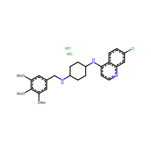 COc1cc(CNC2CCC(Nc3ccnc4cc(Cl)ccc34)CC2)cc(OC)c1OC.Cl.Cl